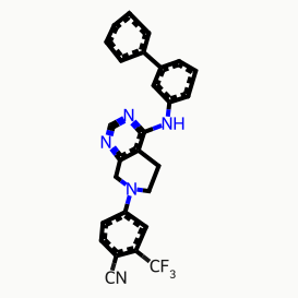 N#Cc1ccc(N2CCc3c(ncnc3Nc3cccc(-c4ccccc4)c3)C2)cc1C(F)(F)F